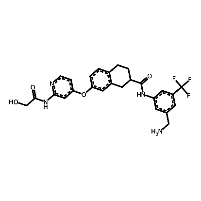 NCc1cc(NC(=O)C2CCc3ccc(Oc4ccnc(NC(=O)CO)c4)cc3C2)cc(C(F)(F)F)c1